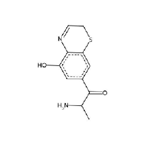 CC(N)C(=O)c1cc(O)c2c(c1)SCC=N2